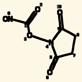 O=NC(=O)ON1C(=O)CCC1=O